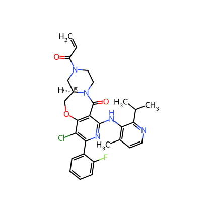 C=CC(=O)N1CCN2C(=O)c3c(Nc4c(C)ccnc4C(C)C)nc(-c4ccccc4F)c(Cl)c3OC[C@H]2C1